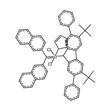 CC(C)(C)c1cc2c(cc1-c1ccccc1)[CH]([Zr]([Cl])([Cl])(=[C](c1ccc3ccccc3c1)c1ccc3ccccc3c1)[CH]1C=CC=C1)c1cc(-c3ccccc3)c(C(C)(C)C)cc1-2